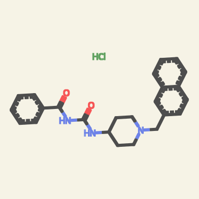 Cl.O=C(NC(=O)c1ccccc1)NC1CCN(Cc2ccc3ccccc3c2)CC1